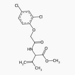 C=C(C)C(NC(=O)COc1ccc(Cl)cc1Cl)C(=O)OC